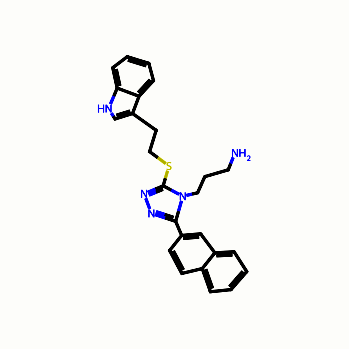 NCCCn1c(SCCc2c[nH]c3ccccc23)nnc1-c1ccc2ccccc2c1